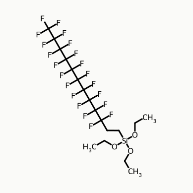 CCO[Si](CCC(F)(F)C(F)(F)C(F)(F)C(F)(F)C(F)(F)C(F)(F)C(F)(F)C(F)(F)C(F)(F)C(F)(F)F)(OCC)OCC